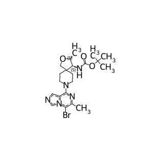 Cc1nc(N2CCC3(CC2)CO[C@@H](C)[C@H]3NC(=O)OC(C)(C)C)c2cncn2c1Br